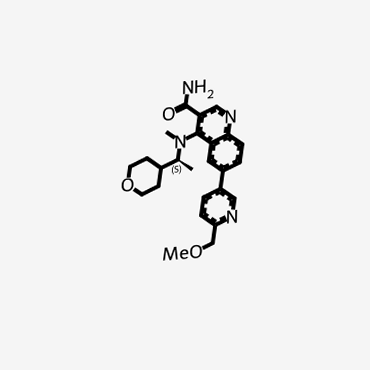 COCc1ccc(-c2ccc3ncc(C(N)=O)c(N(C)[C@@H](C)C4CCOCC4)c3c2)cn1